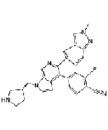 Cn1cc2cc(-c3ncc4c(ccn4C[C@H]4CCNC4)c3-c3ccc(C#N)c(F)c3)ccc2n1